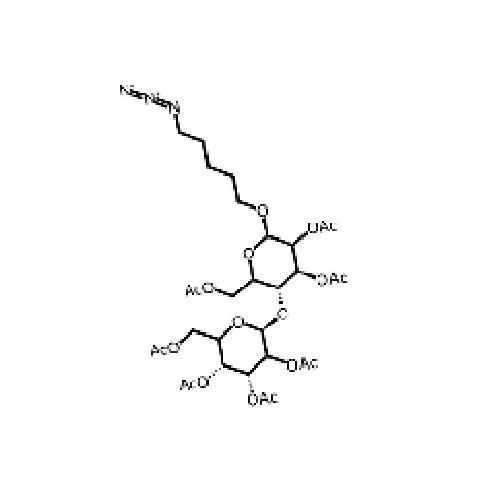 CC(=O)OCC1O[C@@H](OCCCCCN=[N+]=[N-])C(OC(C)=O)[C@@H](OC(C)=O)[C@@H]1O[C@@H]1OC(COC(C)=O)[C@@H](OC(C)=O)[C@@H](OC(C)=O)C1OC(C)=O